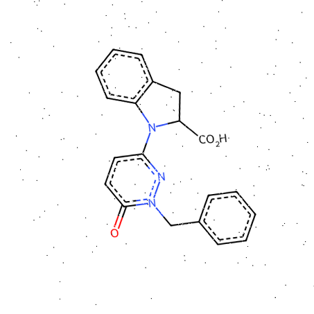 O=C(O)C1Cc2ccccc2N1c1ccc(=O)n(Cc2ccccc2)n1